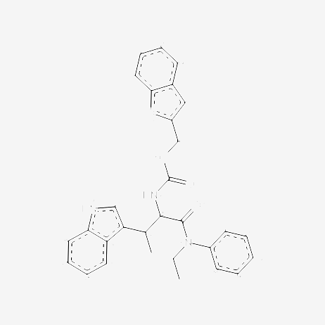 CCN(C(=O)C(NC(=O)OCc1cc2ccccc2o1)C(C)c1c[nH]c2ccccc12)c1ccccc1